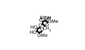 COC1COC(OC2C(C)OC(OC)C(O)C2OS(=O)(=O)O)C(O)C1O